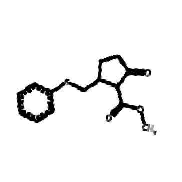 COC(=O)C1C(=O)CCC1CSc1ccccc1